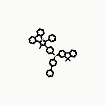 Cc1c(-c2ccc(N(c3ccc(-c4ccccc4)cc3)c3ccc4c(c3)C(C)(C)c3ccccc3-4)cc2)c(-c2ccccc2)n2c3ccccc3c3ccccc3c12